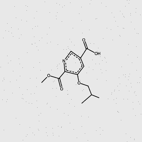 COC(=O)c1ncc(C(=O)O)cc1OCC(C)C